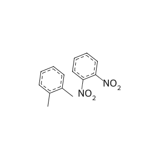 Cc1ccccc1C.O=[N+]([O-])c1ccccc1[N+](=O)[O-]